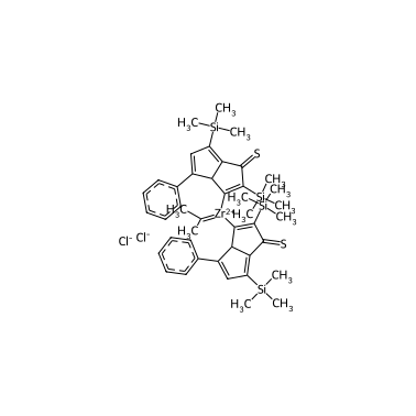 C[C](C)=[Zr+2]([C]1=C([Si](C)(C)C)C(=S)C2=C([Si](C)(C)C)C=C(c3ccccc3)C21)[C]1=C([Si](C)(C)C)C(=S)C2=C([Si](C)(C)C)C=C(c3ccccc3)C21.[Cl-].[Cl-]